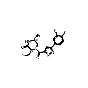 CCC[C@H]1CN(C(=O)c2cc(-c3ccc(Cl)c(F)c3)on2)[C@@H](CC(C)C)C(=O)N1